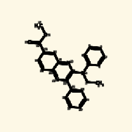 CCN(c1ccccc1)c1nc2cc(C(=O)OC)ccc2nc1-c1ccccc1